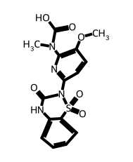 COc1ccc(N2C(=O)Nc3ccccc3S2(=O)=O)nc1N(C)C(=O)O